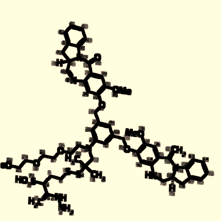 C=C(NN)C(CCSSC(C)(C)CN(CCOCCOCCOC)c1cc(COc2cc3c(cc2OC)C(=O)N2c4ccccc4C[C@H]2C=N3)cc(COc2cc3c(cc2OC)C(=C)N2c4ccccc4C[C@H]2CN3)c1)S(=O)(=O)O